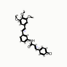 COc1cc(/C=C/c2cccc(NC(=O)/C=C/c3ccc(Cl)cc3)c2)cc(OC)c1OC